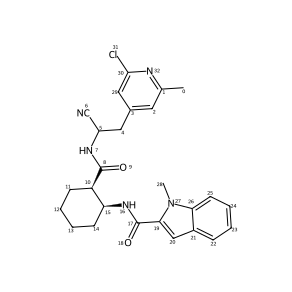 Cc1cc(CC(C#N)NC(=O)[C@@H]2CCCC[C@@H]2NC(=O)c2cc3ccccc3n2C)cc(Cl)n1